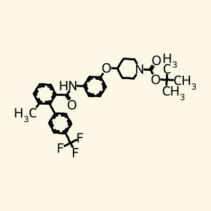 Cc1cccc(C(=O)Nc2cccc(OC3CCN(C(=O)OC(C)(C)C)CC3)c2)c1-c1ccc(C(F)(F)F)cc1